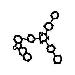 c1ccc(-c2ccc(-c3nc(-c4ccc(-c5ccccc5)cc4)nc(-c4ccc(-c5cccc6oc7cc8ccccc8cc7c56)cc4)n3)cc2)cc1